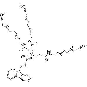 C#CCOCCOCCNC(=O)CCC(CCC(=O)NCCOCCOCC#C)(CCC(=O)NCCOCCOCC#C)NC(O)OCC1c2ccccc2-c2ccccc21